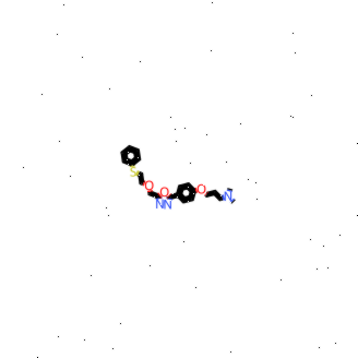 CN(C)CCCOc1ccc(-c2nnc(COCCSc3ccccc3)o2)cc1